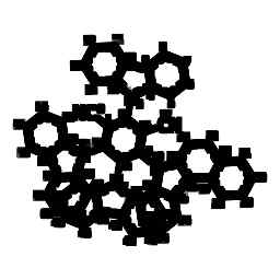 N#Cc1c(-n2c3ccccc3c3ccccc32)c(C#N)c(-n2c3ccccc3c3c4ccccc4ccc32)c(-n2c3ccccc3c3ccccc32)c1-n1c2ccccc2c2ccccc21